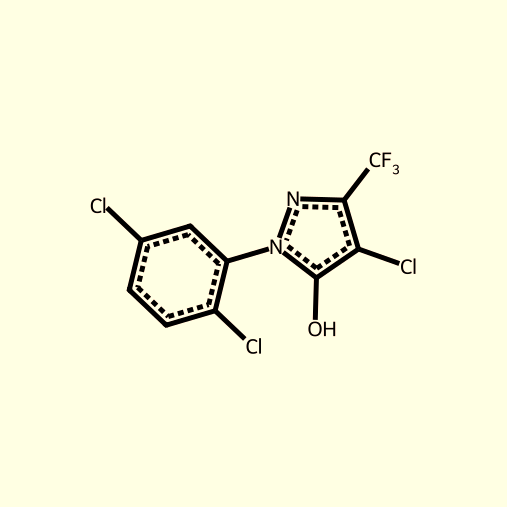 Oc1c(Cl)c(C(F)(F)F)nn1-c1cc(Cl)ccc1Cl